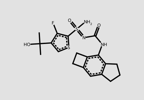 CC(C)(O)c1csc(S(N)(=O)=NC(=O)Nc2c3c(cc4c2CC4)CCC3)c1F